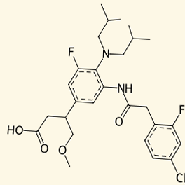 COCC(CC(=O)O)c1cc(F)c(N(CC(C)C)CC(C)C)c(NC(=O)Cc2ccc(Cl)cc2F)c1